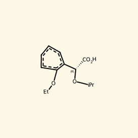 CCOc1ccccc1[C@@H](OC(C)C)C(=O)O